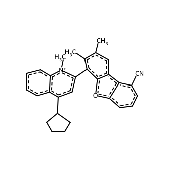 Cc1cc2c(oc3cccc(C#N)c32)c(-c2cc(C3CCCC3)c3ccccc3[n+]2C)c1C